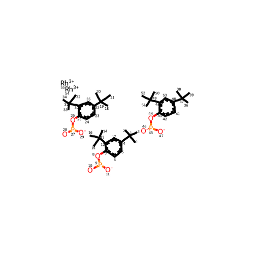 CC(C)(C)c1ccc(OP([O-])[O-])c(C(C)(C)C)c1.CC(C)(C)c1ccc(OP([O-])[O-])c(C(C)(C)C)c1.CC(C)(C)c1ccc(OP([O-])[O-])c(C(C)(C)C)c1.[Rh+3].[Rh+3]